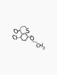 CCCOc1ccc(Cl)c2c1SCCC2=O